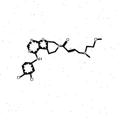 COCCN(C)C/C=C/C(=O)N1CCc2c(sc3ncnc(Nc4ccc(Cl)c(Cl)c4)c23)C1